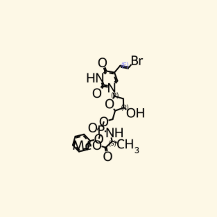 COC(=O)[C@H](C)NP(=O)(OCC1O[C@@H](n2cc(/C=C/Br)c(=O)[nH]c2=O)C[C@H]1O)Oc1ccccc1